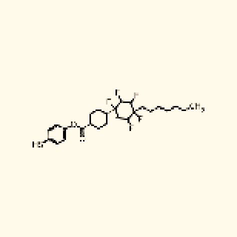 CCCCCCCC1(F)C(F)[CH]C(F)([C@H]2CC[C@H](C(=O)Oc3ccc(S)cc3)CC2)C(F)C1F